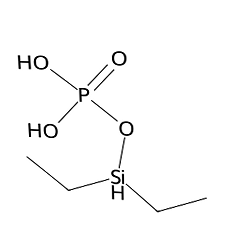 CC[SiH](CC)OP(=O)(O)O